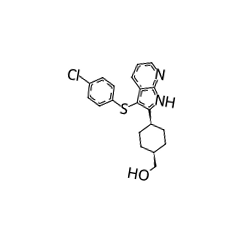 OC[C@H]1CC[C@@H](c2[nH]c3ncccc3c2Sc2ccc(Cl)cc2)CC1